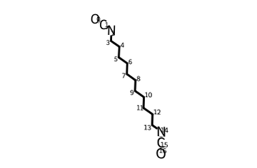 O=C=NCCCCCCCCCCCN=C=O